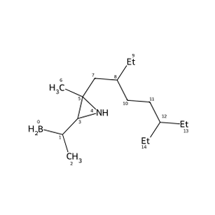 BC(C)C1NC1(C)CC(CC)CCC(CC)CC